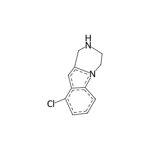 Clc1cccc2c1cc1n2CCNC1